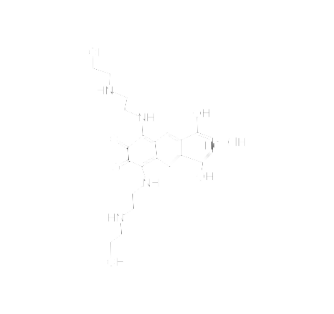 Cl.Cl.O=C1C(=O)C(NCCNCCO)=c2cc3c(O)ccc(O)c3cc2=C1NCCNCCO